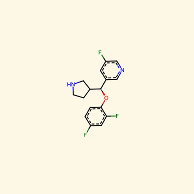 Fc1cncc([C@@H](Oc2ccc(F)cc2F)C2CCNC2)c1